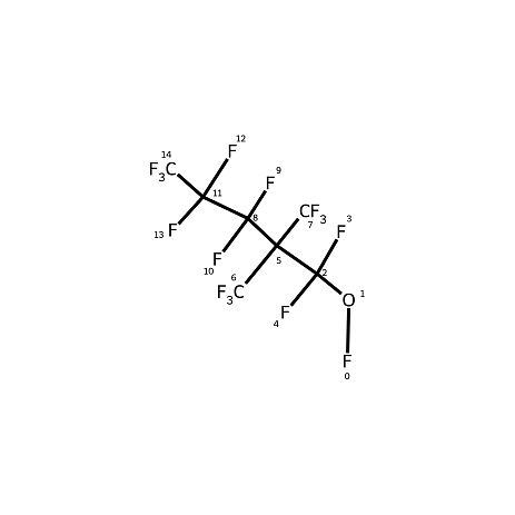 FOC(F)(F)C(C(F)(F)F)(C(F)(F)F)C(F)(F)C(F)(F)C(F)(F)F